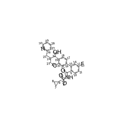 O=C(NS(=O)(=O)C1CC1)c1ccc(F)cc1-c1ccc2c(c1)OCC(Cc1ccccn1)[C@@H]2O